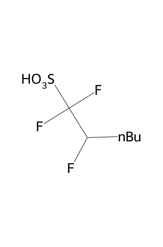 CCCCC(F)C(F)(F)S(=O)(=O)O